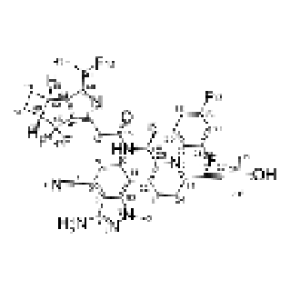 Cn1nc(N)c2c(C#N)ccc(-c3ccc(C#CC(C)(C)O)nc3[C@H](Cc3cc(F)cc(F)c3)NC(=O)Cn3nc(C(F)F)c4c3C(F)(F)[C@@H]3CC[C@H]43)c21